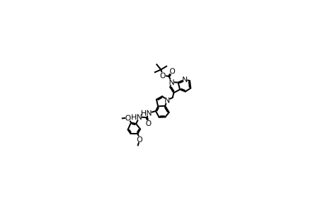 COc1ccc(OC)c(NC(=O)Nc2cccc3c2ccn3Cc2cn(C(=O)OC(C)(C)C)c3ncccc23)c1